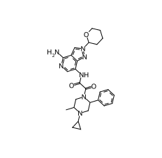 CC1CN(C(=O)C(=O)Nc2cnc(N)c3cn(C4CCCCO4)nc23)C(c2ccccc2)CN1C1CC1